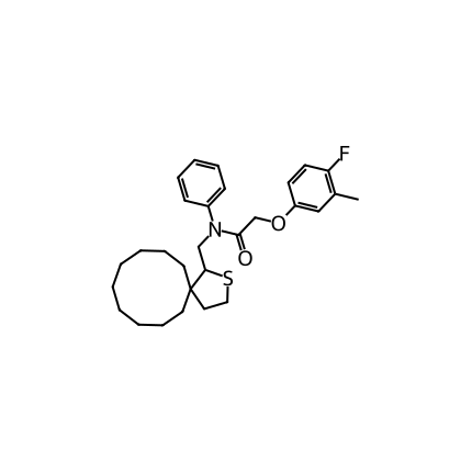 Cc1cc(OCC(=O)N(CC2SCCC23CCCCCCCCC3)c2ccccc2)ccc1F